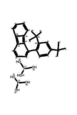 CC(C)(C)c1ccc(-c2cccc3c2=c2ccccc2=3)c(C(C)(C)C)c1.OP(O)O.OP(O)O